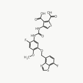 COc1cc(F)c(NC(=O)Nc2csc(C(=O)O)c2C(=O)O)cc1OCc1ccc(F)c2scnc12